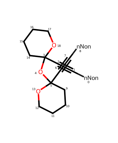 CCCCCCCCCC#CC1(OC2(C#CCCCCCCCCC)CCCCO2)CCCCO1